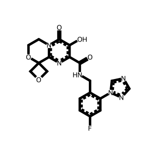 O=C(NCc1ccc(F)cc1-n1cncn1)c1nc2n(c(=O)c1O)CCOC21COC1